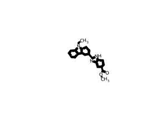 CCn1c2ccccc2c2cc(-c3nc4cc(C(=O)OC)ccc4[nH]3)ccc21